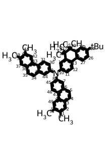 Cc1cc2ccc3cc(N(c4ccc5c(c4)C(C)(C)C(C)(C)c4cc(C(C)(C)C)ccc4-5)c4ccc5c(ccc6cc(C)c(C)cc65)c4)ccc3c2cc1C